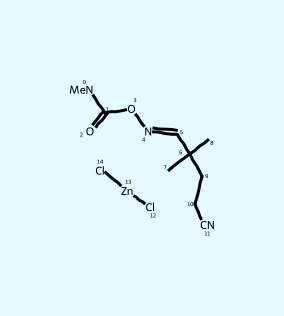 CNC(=O)ON=CC(C)(C)CCC#N.[Cl][Zn][Cl]